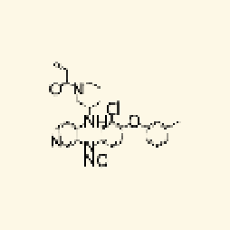 C=CC(=O)N1CCCC(Nc2ccncc2N(N=O)c2ccc(Oc3cccc(C)c3)c(Cl)c2)C1